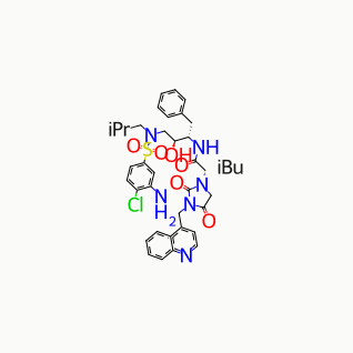 CC[C@H](C)[C@@H](C(=O)N[C@@H](Cc1ccccc1)[C@@H](O)CN(CC(C)C)S(=O)(=O)c1ccc(Cl)c(N)c1)N1CC(=O)N(Cc2ccnc3ccccc23)C1=O